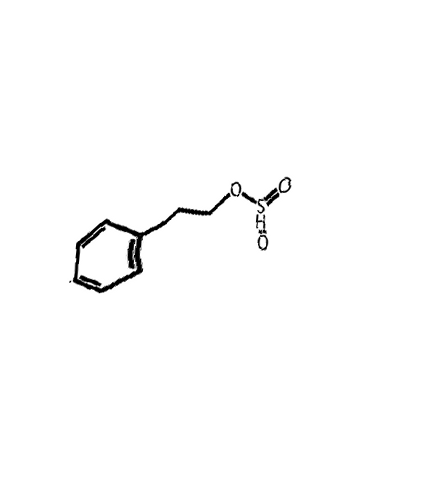 O=[SH](=O)OCCc1cc[c]cc1